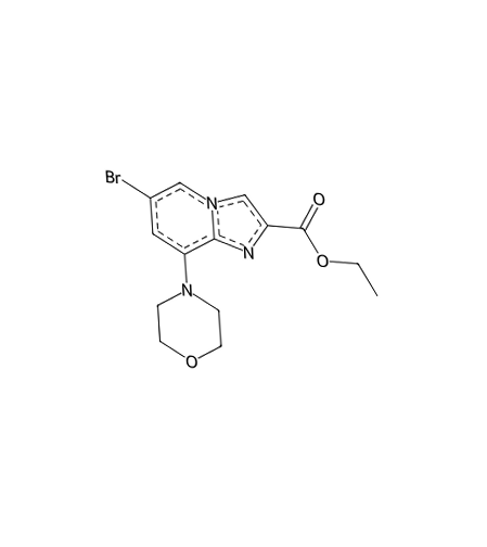 CCOC(=O)c1cn2cc(Br)cc(N3CCOCC3)c2n1